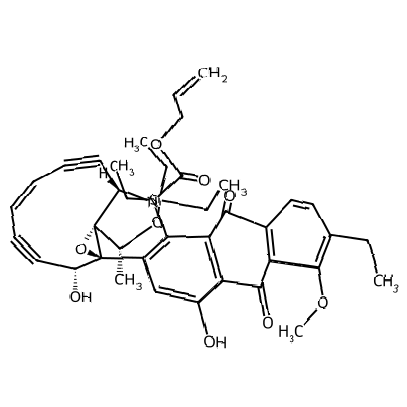 C=CCOC(=O)N1c2c(cc(O)c3c2C(=O)c2ccc(CC)c(OC)c2C3=O)[C@@]23O[C@@]2([C@@H](C)O[Si](CC)(CC)CC)[C@@H]1C#C/C=C\C#C[C@H]3O